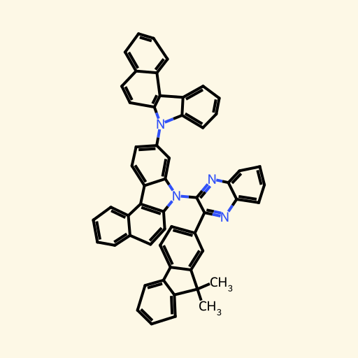 CC1(C)c2ccccc2-c2ccc(-c3nc4ccccc4nc3-n3c4cc(-n5c6ccccc6c6c7ccccc7ccc65)ccc4c4c5ccccc5ccc43)cc21